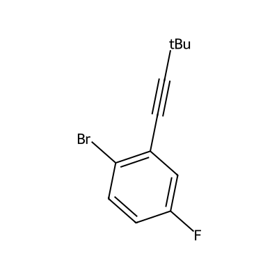 [CH2]C(C)(C)C#Cc1cc(F)ccc1Br